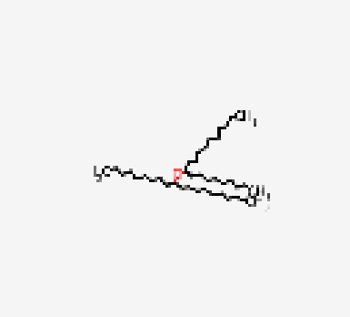 CCCCCCCCC=C(CCCCCCCCCC)OC(=CCCCCCCCC)CCCCCCCCCC